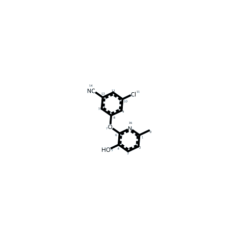 Cc1ccc(O)c(Oc2cc(Cl)cc(C#N)c2)n1